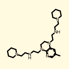 Cc1cnc2c(c1)N(CCNCCN1CCCCC1)CCN2CCNCCN1CCCCC1